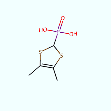 CC1=C(C)SC(P(=O)(O)O)S1